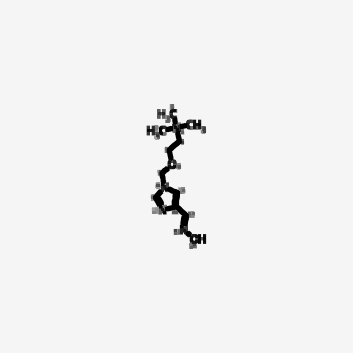 C[Si](C)(C)CCOCn1cnc(C=NO)c1